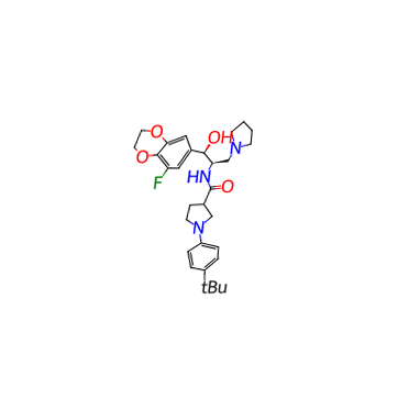 CC(C)(C)c1ccc(N2CCC(C(=O)N[C@H](CN3CCCC3)[C@H](O)c3cc(F)c4c(c3)OCCO4)C2)cc1